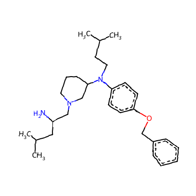 CC(C)CCN(c1ccc(OCc2ccccc2)cc1)C1CCCN(CC(N)CC(C)C)C1